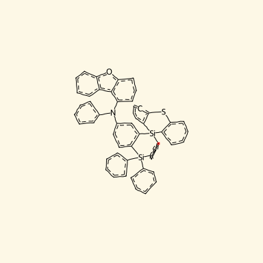 c1ccc(N(c2ccc3c(c2)[Si]2(c4ccccc4Sc4ccccc42)c2ccccc2[Si]3(c2ccccc2)c2ccccc2)c2cccc3oc4ccccc4c23)cc1